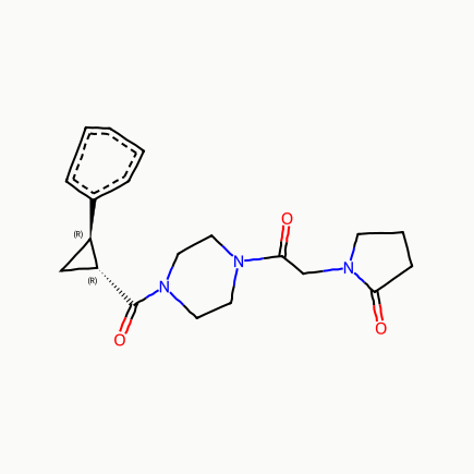 O=C(CN1CCCC1=O)N1CCN(C(=O)[C@@H]2C[C@H]2c2ccccc2)CC1